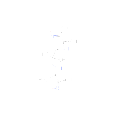 CC(=NO)C(C)NCC(C)(C)CNC(C)C(C)=NO